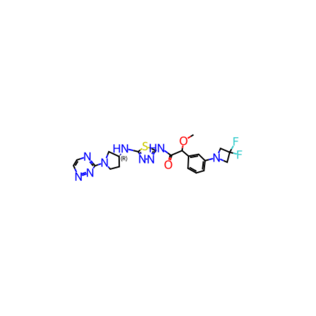 COC(C(=O)Nc1nnc(N[C@@H]2CCN(c3nccnn3)C2)s1)c1cccc(N2CC(F)(F)C2)c1